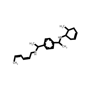 C/C=C\C=C/CNC(C)c1ccc(C(C)NC2CC=CCC2C)cc1